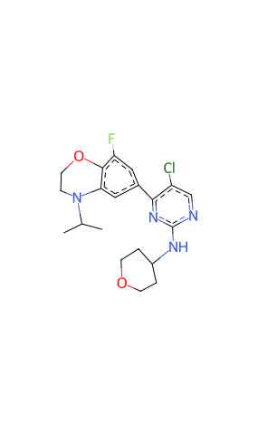 CC(C)N1CCOc2c(F)cc(-c3nc(NC4CCOCC4)ncc3Cl)cc21